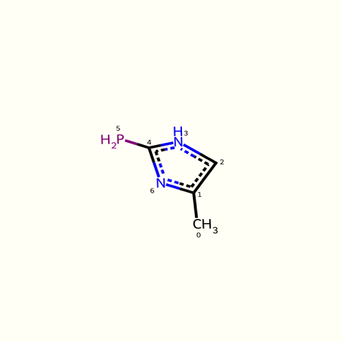 Cc1c[nH]c(P)n1